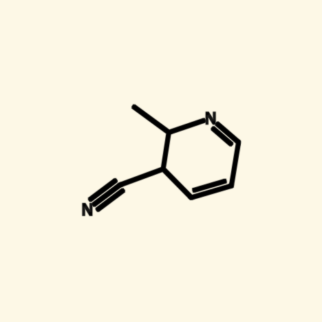 CC1N=CC=CC1C#N